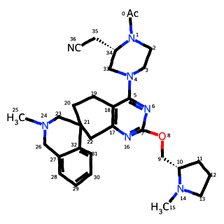 CC(=O)N1CCN(c2nc(OC[C@@H]3CCCN3C)nc3c2CCC2(C3)CN(C)Cc3ccccc32)C[C@@H]1CC#N